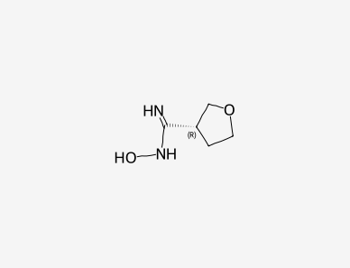 N=C(NO)[C@H]1CCOC1